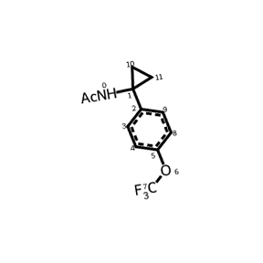 CC(=O)NC1(c2ccc(OC(F)(F)F)cc2)CC1